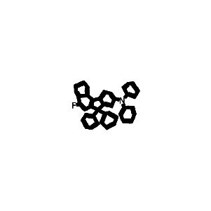 Fc1cc2c(c3ccccc13)-c1ccc(N(c3ccccc3)c3ccccc3)cc1C2(c1ccccc1)c1ccccc1